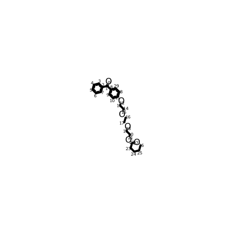 O=C(c1ccccc1)c1ccc(OCCOCCOCCOC2CCCCO2)cc1